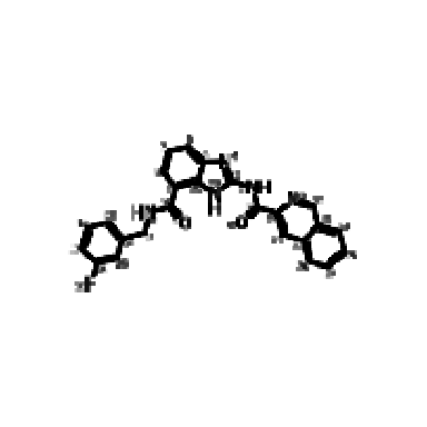 O=C(Nc1nc2cccc(C(=O)NCc3cccc(F)c3)c2[nH]1)c1cc2ccccc2cn1